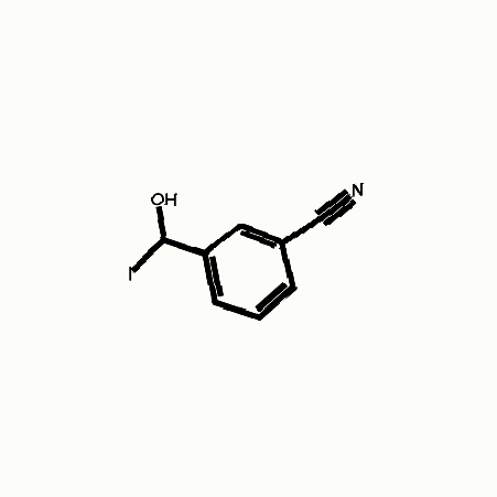 N#Cc1cccc(C(O)I)c1